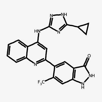 O=c1[nH][nH]c2cc(C(F)(F)F)c(-c3cc(Nc4n[nH]c(C5CC5)n4)c4ccccc4n3)cc12